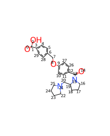 O=C(O)c1ccc(COc2ccc(C(=O)N3CCCC3CN3CCCC3)cc2)cc1